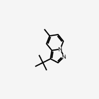 Cc1ccn2ncc(C(C)(C)C)c2c1